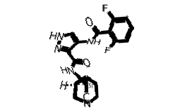 O=C(N[C@@H]1CN2CCC1CC2)c1n[nH]cc1NC(=O)c1c(F)cccc1F